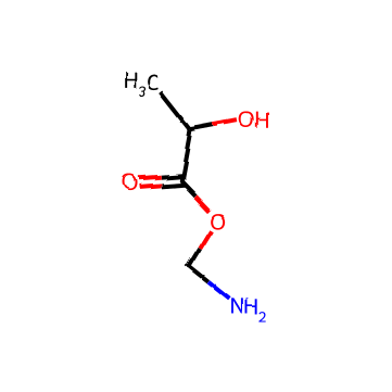 CC(O)C(=O)OCN